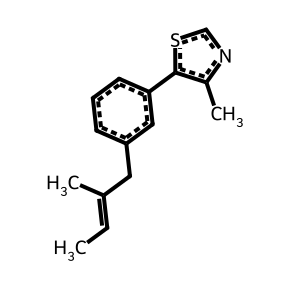 C/C=C(\C)Cc1cccc(-c2scnc2C)c1